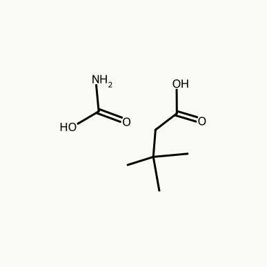 CC(C)(C)CC(=O)O.NC(=O)O